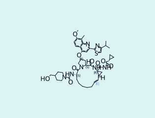 COc1ccc2c(O[C@@H]3C[C@H]4C(=O)N[C@]5(C(=O)NS(=O)(=O)C6CC6)C[C@H]5/C=C/CCCCC[C@H](NC(=O)N5CCC(CO)CC5)C(=O)N4C3)cc(-c3nc(C(C)C)cs3)nc2c1C